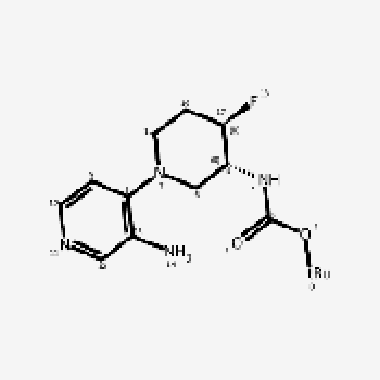 CC(C)(C)OC(=O)N[C@@H]1CN(c2ccncc2N)CC[C@H]1F